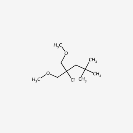 COCC(Cl)(COC)CC(C)(C)C